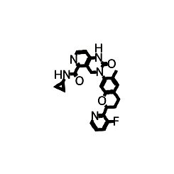 Cc1cc2c(cc1N1Cc3c(ccnc3C(=O)NC3CC3)NC1=O)OC(c1ncccc1F)CC2